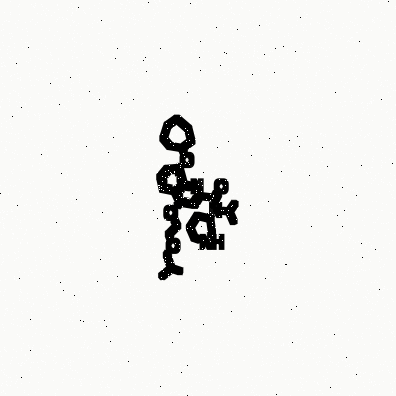 CC(C)COCCOc1cc(C(=O)N(C(C)C)[C@@H]2CCCNC2)nc2c(OC3CCCCCC3)cccc12